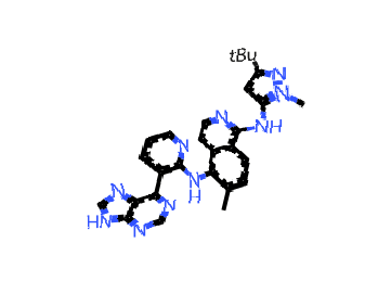 Cc1ccc2c(Nc3cc(C(C)(C)C)nn3C)nccc2c1Nc1ncccc1-c1ncnc2[nH]cnc12